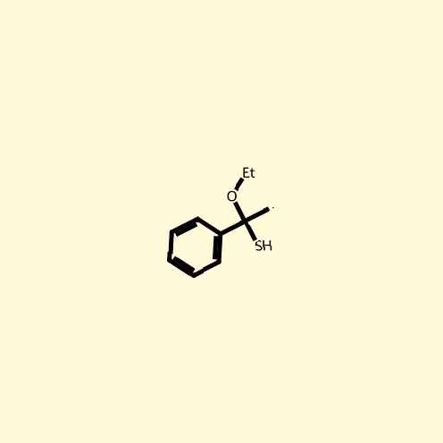 [CH2]C(S)(OCC)c1ccccc1